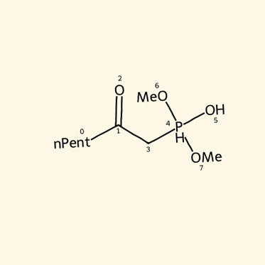 CCCCCC(=O)C[PH](O)(OC)OC